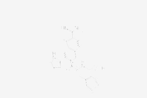 N=C(N)c1ccc(CN(C(=O)[C@@H]2CCCN2)C(=O)[C@@H](Cc2ccccc2)NCC(=O)O)cc1